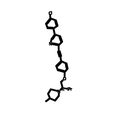 CC1CCN([C@@H](COc2ccc(C#Cc3ccc(-c4ccc(Cl)cc4)cn3)cc2)C(C)C)CC1